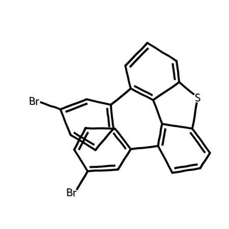 Brc1cccc(-c2cccc3sc4cccc(-c5cccc(Br)c5)c4c23)c1